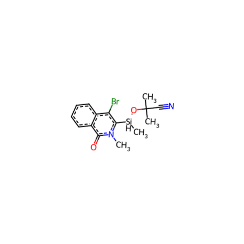 Cn1c([SiH](C)OC(C)(C)C#N)c(Br)c2ccccc2c1=O